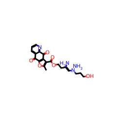 Cc1oc2c(c1C(=O)OCC/C(N)=C/N(N)CCCO)C(=O)c1ncccc1C2=O